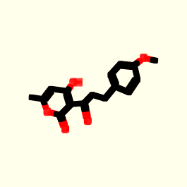 COc1ccc(CCC(=O)c2c(O)cc(C)oc2=O)cc1